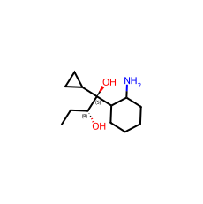 CC[C@@H](O)[C@](O)(C1CC1)C1CCCCC1N